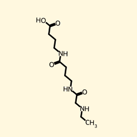 CCNCC(=O)NCCCC(=O)NCCCC(=O)O